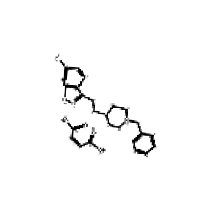 Brc1ccc2c(CCC3CCN(Cc4ccccc4)CC3)noc2c1.O=C(O)/C=C\C(=O)O